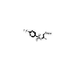 COC[C@@H](C)OS(=O)(=O)c1ccc(C(F)(F)F)cc1